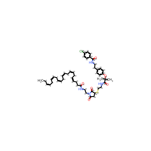 CC/C=C\C/C=C\C/C=C\C/C=C\C/C=C\C/C=C\CCC(=O)NCCN1C(=O)CC(SCCNC(=O)C(C)(C)Oc2ccc(CCNC(=O)c3ccc(Cl)cc3)cc2)C1=O